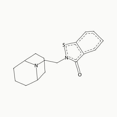 O=c1c2ccccc2sn1CCN1C2CCCC1CCC2